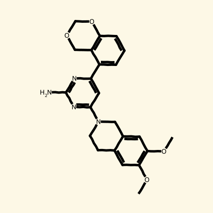 COc1cc2c(cc1OC)CN(c1cc(-c3cccc4c3COCO4)nc(N)n1)CC2